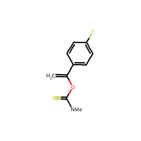 C=C(OC(=S)NC)c1ccc(F)cc1